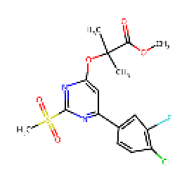 COC(=O)C(C)(C)Oc1cc(-c2ccc(Cl)c(F)c2)nc(S(C)(=O)=O)n1